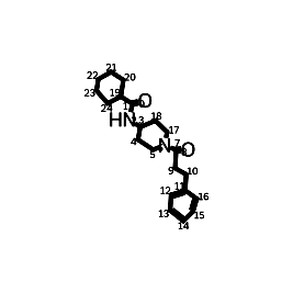 O=C(NC1CCN(C(=O)CCc2ccccc2)CC1)C1CCCCC1